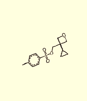 Cc1ccc(S(=O)(=O)OCC2(C3CC3)COC2)cc1